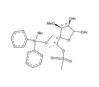 CO[C@H]1[C@@H](OC(C)=O)C(OC(C)=O)O[C@@]1(CO[Si](c1ccccc1)(c1ccccc1)C(C)(C)C)[C@@H](C)OS(C)(=O)=O